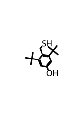 CC(C)(C)c1cc(O)cc(C(C)(C)C)c1CS